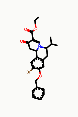 CCOC(=O)C1=CN2C(CC1=O)c1cc(Br)c(OCc3ccccc3)cc1CC2C(C)C